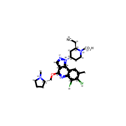 Cc1cc2c(nc(OC[C@@H]3CCCN3C)c3cnn([C@H]4CCN(C(=O)O)[C@H](CC#N)C4)c32)c(F)c1Br